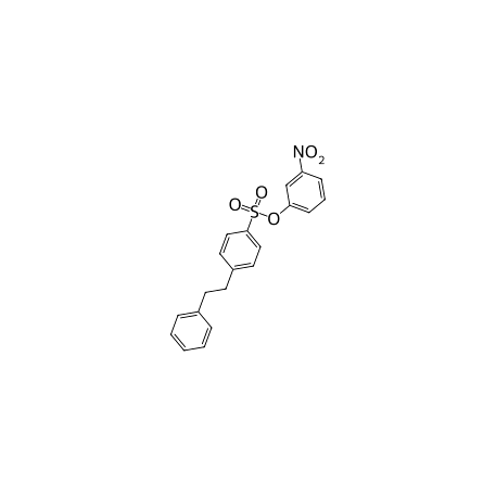 O=[N+]([O-])c1cccc(OS(=O)(=O)c2ccc(CCc3ccccc3)cc2)c1